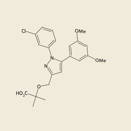 COc1cc(OC)cc(-c2cc(COC(C)(C)C(=O)O)nn2-c2cccc(Cl)c2)c1